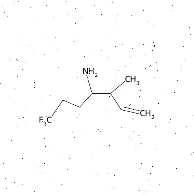 C=CC(C)C(N)CCC(F)(F)F